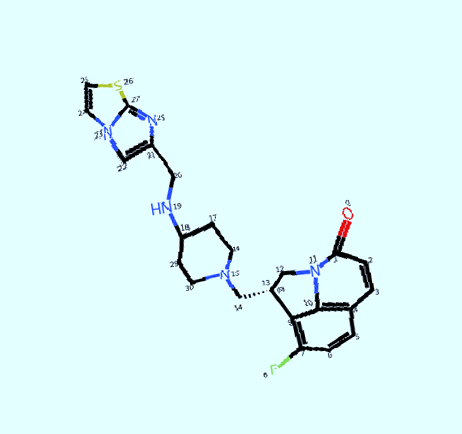 O=c1ccc2ccc(F)c3c2n1C[C@H]3CN1CCC(NCc2cn3ccsc3n2)CC1